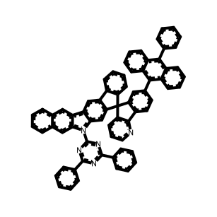 c1ccc(-c2nc(-c3ccccc3)nc(-n3c4cc5c(cc4c4cc6ccccc6cc43)-c3ccccc3C53c4cc(-c5c6ccccc6c(-c6ccccc6)c6ccccc56)ccc4-c4ncccc43)n2)cc1